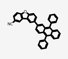 N#Cc1ccc2oc3ccc(-c4ccc5c(-c6ccccc6)c6ccccc6c(-c6ccccc6)c5c4)cc3c2c1